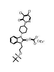 CC(C)(C)[Si](C)(C)OCCn1c(=O)n([C@H]2CC[C@H](n3ncc(Cl)c(Cl)c3=O)CC2)c2ccccc21.O=C([O-])[O-].[Cs+].[Cs+]